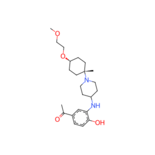 COCCO[C@H]1CC[C@](C)(N2CCC(Nc3cc(C(C)=O)ccc3O)CC2)CC1